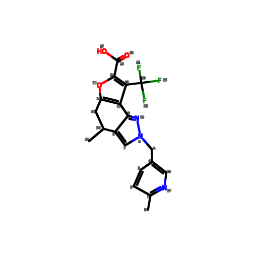 Cc1ccc(Cn2cc3c(n2)-c2c(oc(C(=O)O)c2C(F)(F)F)CC3C)cn1